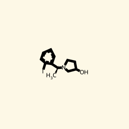 C[C@@H](c1ccccc1I)N1CCC(O)C1